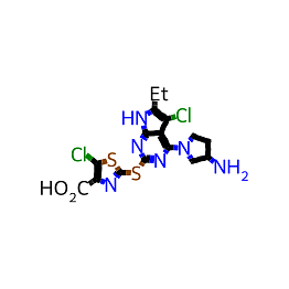 CCc1[nH]c2nc(Sc3nc(C(=O)O)c(Cl)s3)nc(N3CCC(N)C3)c2c1Cl